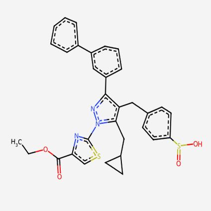 CCOC(=O)c1csc(-n2nc(-c3cccc(-c4ccccc4)c3)c(Cc3ccc(S(=O)O)cc3)c2CC2CC2)n1